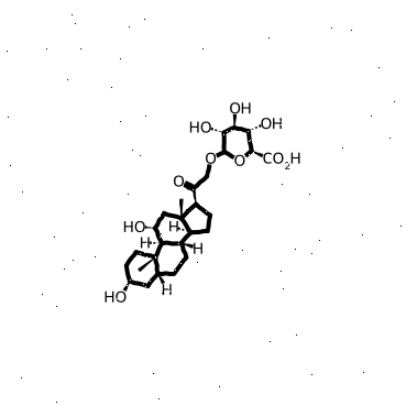 C[C@]12CC[C@H](O)C[C@H]1CC[C@@H]1[C@@H]2[C@H](O)C[C@]2(C)[C@@H](C(=O)COC3O[C@H](C(=O)O)[C@@H](O)[C@H](O)[C@H]3O)CC[C@@H]12